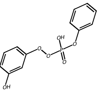 O=P(O)(OOc1cccc(O)c1)Oc1ccccc1